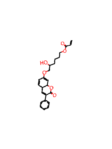 C=CC(=O)OCCCCC(O)COC1=CC2OC(=O)C(c3ccccc3)=CC2C=C1